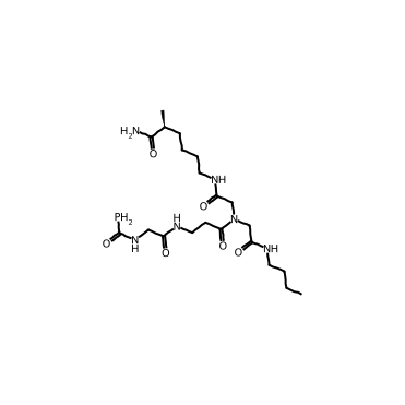 CCCCNC(=O)CN(CC(=O)NCCCC[C@H](C)C(N)=O)C(=O)CCNC(=O)CNC(=O)P